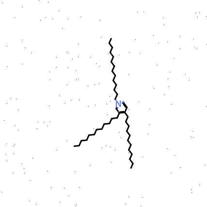 CCCCCCCCCCCCCC[n+]1ccc(CCCCCCCCCCCC)c(CCCCCCCCCCCC)c1